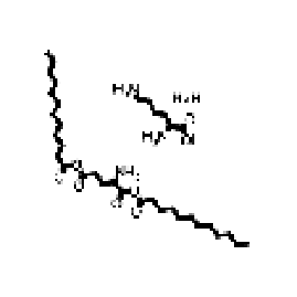 CCCCCCCCCCCC(=O)OC(=O)CCC(N)C(=O)OC(=O)CCCCCCCCCCC.NCCCCC(N)C(=O)O.[NaH]